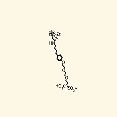 CCOP(=O)(CC(=O)NCCCCc1ccc(OCCOCCOCCN(C(=O)O)C(=O)O)cc1)OCC